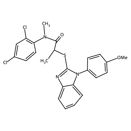 COc1ccc(-n2c(SC(C)C(=O)N(C)c3ccc(Cl)cc3Cl)nc3ccccc32)cc1